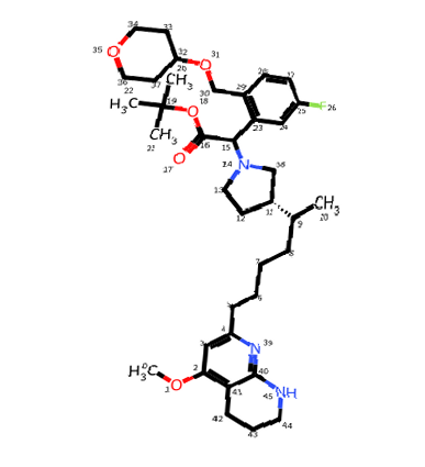 COc1cc(CCCCC(C)[C@@H]2CCN(C(C(=O)OC(C)(C)C)c3cc(F)ccc3COC3CCOCC3)C2)nc2c1CCCN2